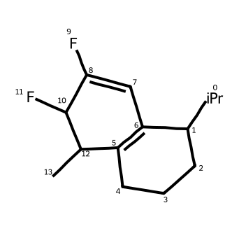 CC(C)C1CCCC2=C1C=C(F)C(F)C2C